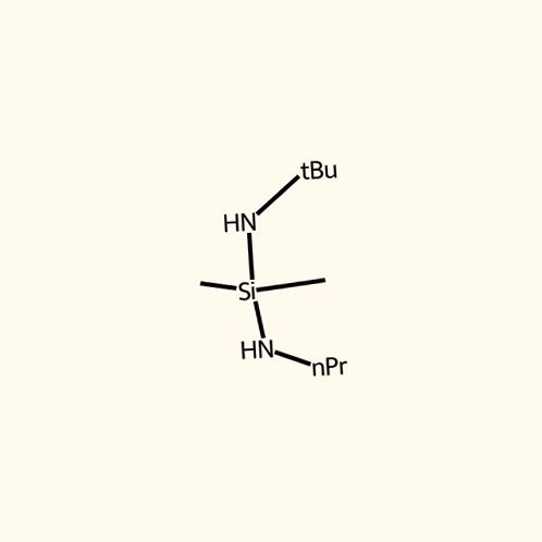 CCCN[Si](C)(C)NC(C)(C)C